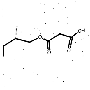 CC[C@H](C)COC(=O)CC(=O)O